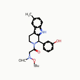 Cc1ccc2[nH]c3c(c2c1)CCN(C(=O)CN(C=O)OC(C)(C)C)C3c1cccc(O)c1